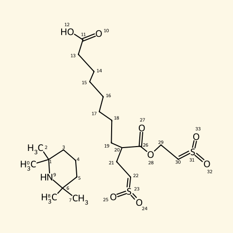 CC1(C)CCCC(C)(C)N1.O=C(O)CCCCCCCC(CC=S(=O)=O)C(=O)OCC=S(=O)=O